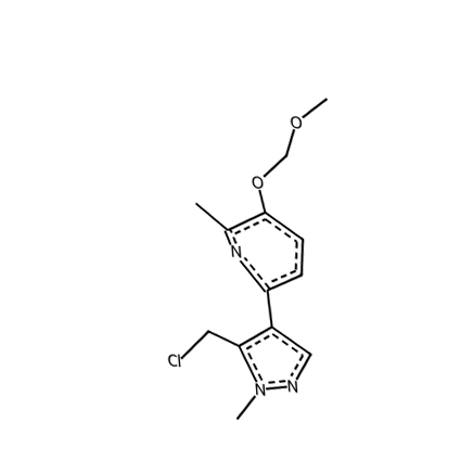 COCOc1ccc(-c2cnn(C)c2CCl)nc1C